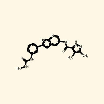 CCCCNC(=O)Nc1cccc(-c2cc3cc(NC(=O)c4[nH]nc(C)c4C)cnc3[nH]2)c1